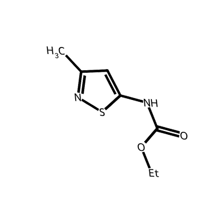 CCOC(=O)Nc1cc(C)ns1